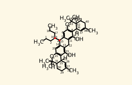 CCCCCc1cc2c(c(O)c1Cc1c(CCCCC)cc3c(c1O)[C@@H]1C=C(C)CC[C@H]1C(C)(C)O3)[C@@H]1C=C(C)CC[C@H]1C(C)(C)O2